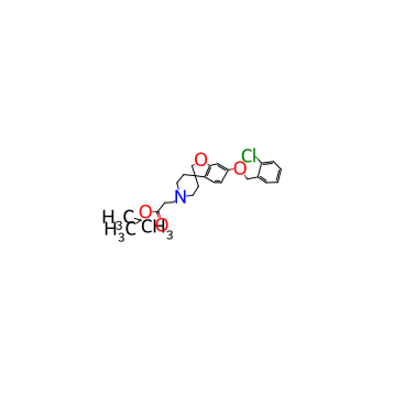 CC(C)(C)OC(=O)CCN1CCC2(CC1)COc1cc(OCc3ccccc3Cl)ccc12